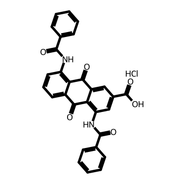 Cl.O=C(O)c1cc(NC(=O)c2ccccc2)c2c(c1)C(=O)c1c(NC(=O)c3ccccc3)cccc1C2=O